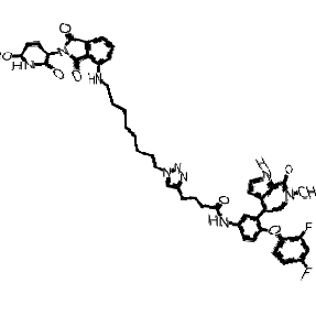 Cn1cc(-c2cc(NC(=O)CCCc3cn(CCCCCCCCNc4cccc5c4C(=O)N(C4CCC(O)NC4=O)C5=O)nn3)ccc2Oc2ccc(F)cc2F)c2cc[nH]c2c1=O